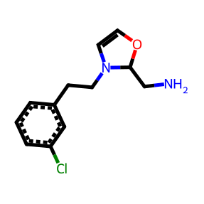 NCC1OC=CN1CCc1cccc(Cl)c1